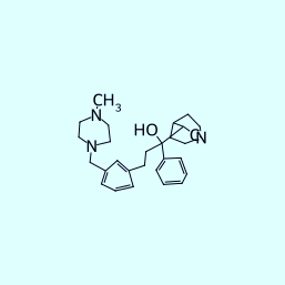 CN1CCN(Cc2cccc(CCC(O)(c3ccccc3)C3CN4CCC3CC4)c2)CC1